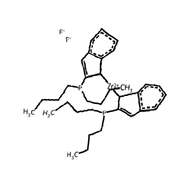 CCCCP(CCCC)C1=Cc2ccccc2[CH]1[Zr+2][CH]1C(P(CCCC)CCCC)=Cc2ccccc21.[F-].[F-]